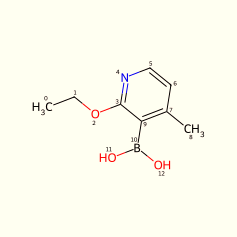 CCOc1nccc(C)c1B(O)O